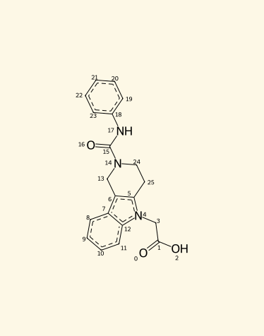 O=C(O)Cn1c2c(c3ccccc31)CN(C(=O)Nc1ccccc1)CC2